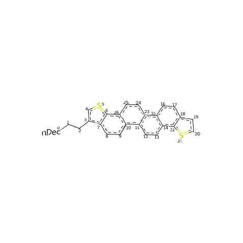 CCCCCCCCCCCCc1csc2c1ccc1c3ccc4c(ccc5ccsc54)c3ccc12